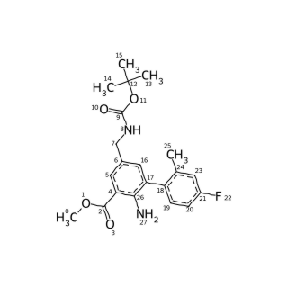 COC(=O)c1cc(CNC(=O)OC(C)(C)C)cc(-c2ccc(F)cc2C)c1N